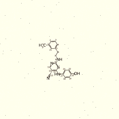 Cc1cccc(CCNc2ncc(C#N)c(Nc3ccc(O)cc3)n2)c1